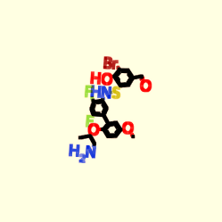 COc1ccc(OC(C)CN)c(-c2cc(NSc3cc(C=O)cc(Br)c3O)c(F)cc2F)c1